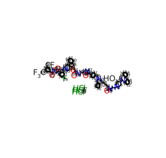 CN(CCN1CCC(N(C(=O)O)c2ccccc2-c2ccccc2)CC1)C(=O)CCCCCN(Cc1ccccc1)Cc1ccc(C(=O)N(C)CCCN(C)C(=O)CO[C@H]2Cc3ccccc3C23CCN(CC[C@]2(c4ccc(F)cc4)CN(C(=O)c4cc(C(F)(F)F)cc(C(F)(F)F)c4)CO2)CC3)cc1.Cl.Cl.Cl